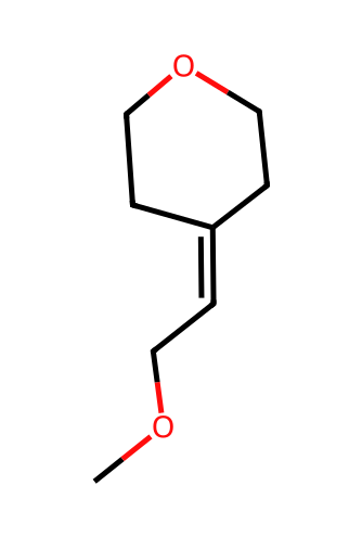 COCC=C1CCOCC1